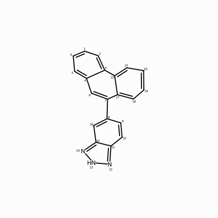 c1ccc2c(c1)cc(-c1ccc3n[nH]nc3c1)c1ccccc12